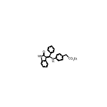 CCOC(=O)Cc1ccc(NC(=C2C(=O)Nc3ccccc32)c2ccccc2)cc1